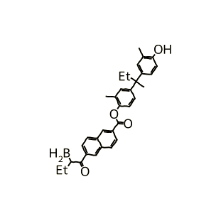 BC(CC)C(=O)c1ccc2cc(C(=O)Oc3ccc(C(C)(CC)c4ccc(O)c(C)c4)cc3C)ccc2c1